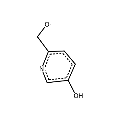 [O]Cc1ccc(O)cn1